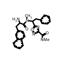 CNC(=O)c1noc(C(Cc2ccccc2)N(C)C(=O)C(N)Cc2ccc3ccccc3c2)n1